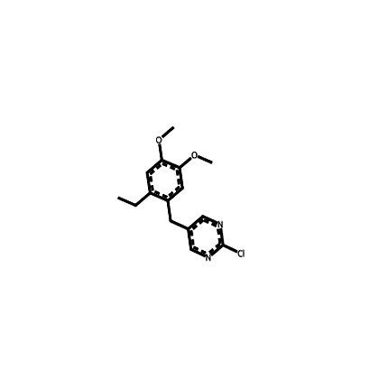 CCc1cc(OC)c(OC)cc1Cc1cnc(Cl)nc1